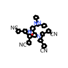 N#Cc1cccc(-c2ccc3c(c2)c2cc(-c4cccc(C#N)c4)ccc2n3-c2cccc(-c3cc(-c4cc(-c5ccccc5)nc(-c5ccccc5)n4)ccc3-n3c4ccc(-c5cccc(C#N)c5)cc4c4cc(-c5cccc(C#N)c5)ccc43)c2)c1